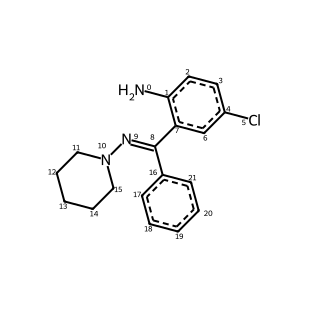 Nc1ccc(Cl)cc1/C(=N/N1CCCCC1)c1ccccc1